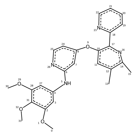 COc1cc(Nc2cc(Oc3cc(C)c(C)nc3-c3ccccn3)ccn2)cc(OC)c1OC